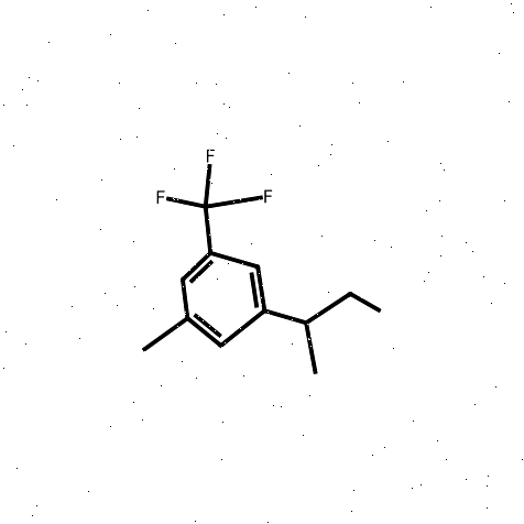 CCC(C)c1cc(C)cc(C(F)(F)F)c1